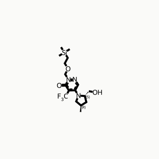 C[C@@H]1C[C@@H](CO)N(c2cnn(COCC[Si](C)(C)C)c(=O)c2C(F)(F)F)C1